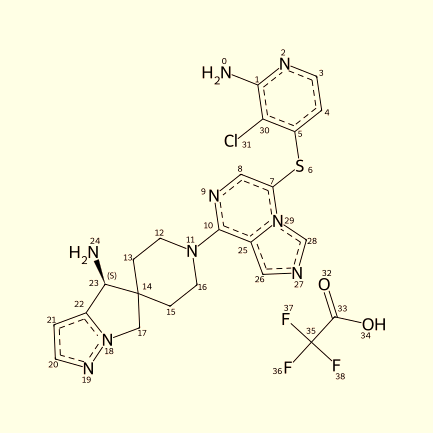 Nc1nccc(Sc2cnc(N3CCC4(CC3)Cn3nccc3[C@H]4N)c3cncn23)c1Cl.O=C(O)C(F)(F)F